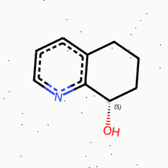 O[C@H]1CCCc2cccnc21